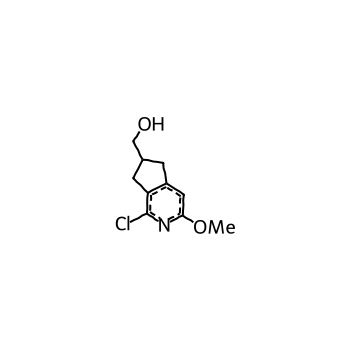 COc1cc2c(c(Cl)n1)CC(CO)C2